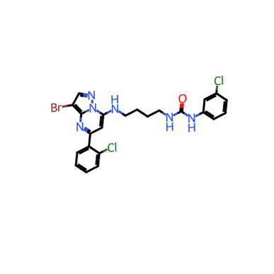 O=C(NCCCCNc1cc(-c2ccccc2Cl)nc2c(Br)cnn12)Nc1cccc(Cl)c1